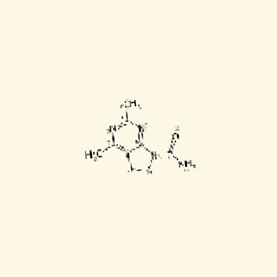 Cc1nc(C)c2c(n1)N(C(N)=O)CC2